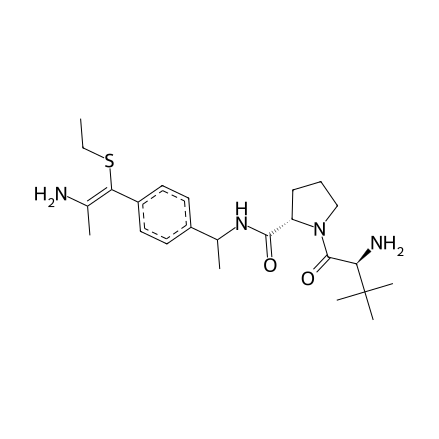 CCS/C(=C(/C)N)c1ccc(C(C)NC(=O)[C@@H]2CCCN2C(=O)[C@@H](N)C(C)(C)C)cc1